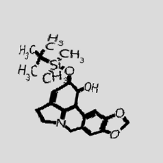 CC(C)(C)[Si](C)(C)OC1C=C2CCN3Cc4cc5c(cc4C(C1O)C23)OCO5